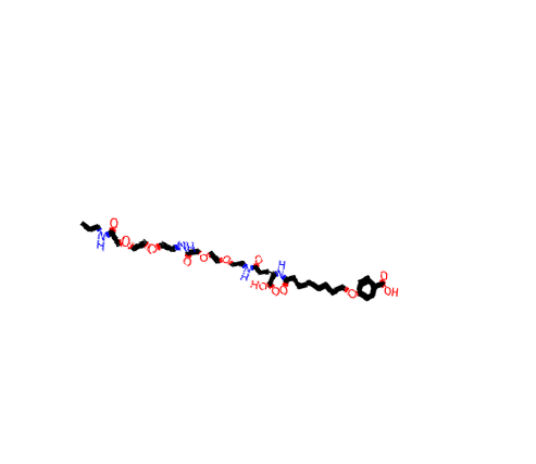 CCCNC(=O)COCCOCCNC(=O)COCCOCCNC(=O)CC[C@H](NC(=O)CCCCCCCOc1ccc(C(=O)O)cc1)C(=O)O